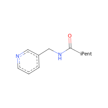 CCCC(C)C(=O)NCc1cccnc1